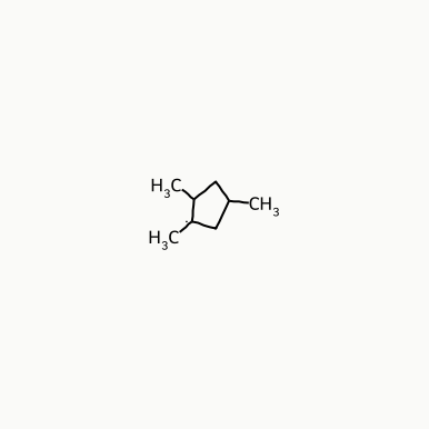 C[C]1CC(C)CC1C